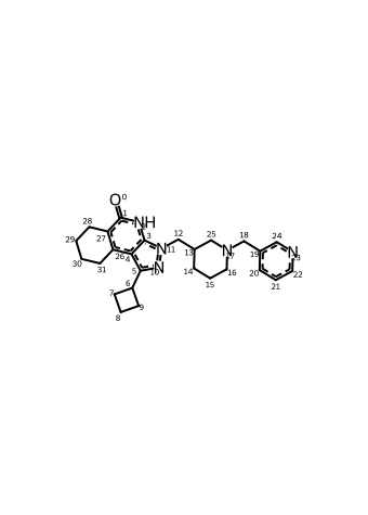 O=c1[nH]c2c(c(C3CCC3)nn2CC2CCCN(Cc3cccnc3)C2)c2c1CCCC2